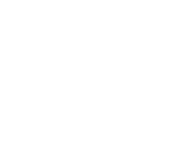 CCCCC=CCCSc1ccc(-c2ccc(OCCCCCCCC)cc2)cc1